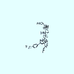 O=C(Nc1cccc(S(=O)(=O)NCCO)c1)Oc1cnn2c(C(F)F)cc(-c3ccc(C(F)(F)F)cc3)nc12